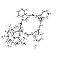 CC(C)(C)c1c(C(C)(C)C)c(C(C)(C)C)c2c3nc4nc(nc5[nH]c(nc6nc(nc([nH]3)c2c1C(C)(C)C)-c1ccccc1-6)c1ccccc51)-c1ccccc1-4.[Zn]